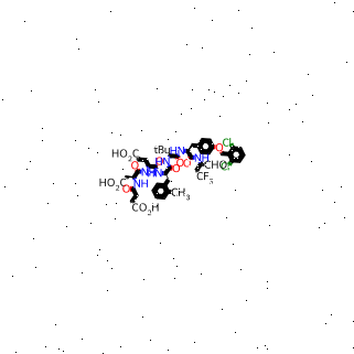 Cc1ccccc1C[C@H](NC(=O)C(CCC(=O)O)NC(=O)[C@H](CC(=O)O)NC(=O)CCC(=O)O)C(=O)N[C@H](C(=O)N[C@@H](Cc1ccc(OCc2c(Cl)cccc2Cl)cc1)C(=O)NC(C=O)CC(F)(F)F)C(C)(C)C